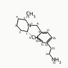 C[C@@H]1CCC[C@H](C)N1Cc1ccc(CCN)cc1